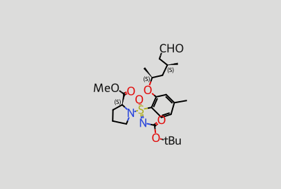 COC(=O)[C@@H]1CCCN1S(=O)(=NC(=O)OC(C)(C)C)c1ccc(C)cc1O[C@@H](C)C[C@H](C)CC=O